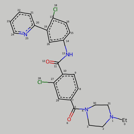 CCN1CCN(C(=O)c2ccc(C(=O)Nc3ccc(Cl)c(-c4ccccn4)c3)c(Cl)c2)CC1